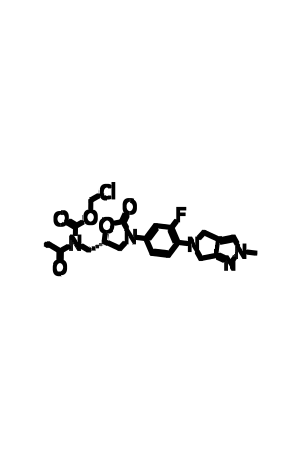 CC(=O)N(C[C@H]1CN(c2ccc(N3Cc4cn(C)nc4C3)c(F)c2)C(=O)O1)C(=O)OCCl